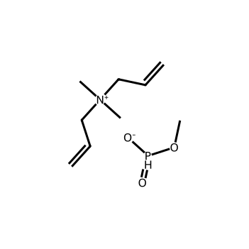 C=CC[N+](C)(C)CC=C.CO[PH](=O)[O-]